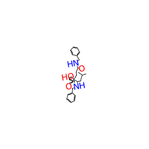 CC(C)CC(NC(=O)c1ccccc1)[Si](C)(O)CCC(=O)NCc1ccccc1